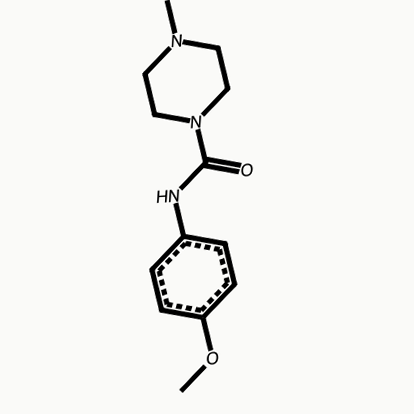 COc1ccc(NC(=O)N2CCN(C)CC2)cc1